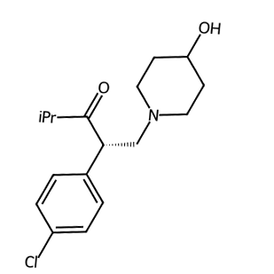 CC(C)C(=O)[C@H](CN1CCC(O)CC1)c1ccc(Cl)cc1